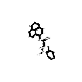 O=PN[C@@H](Cc1ccccc1)C(=O)OC1C=Cc2cccc3cccc1c23